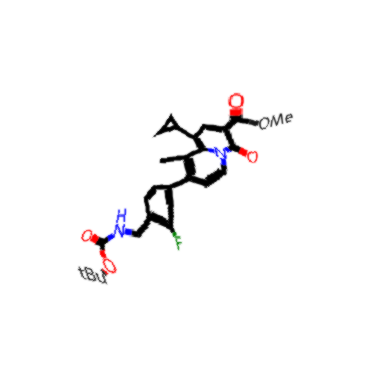 COC(=O)c1cc(C2CC2)c2c(C)c(-c3ccc(CNC(=O)OC(C)(C)C)c(F)c3)ccn2c1=O